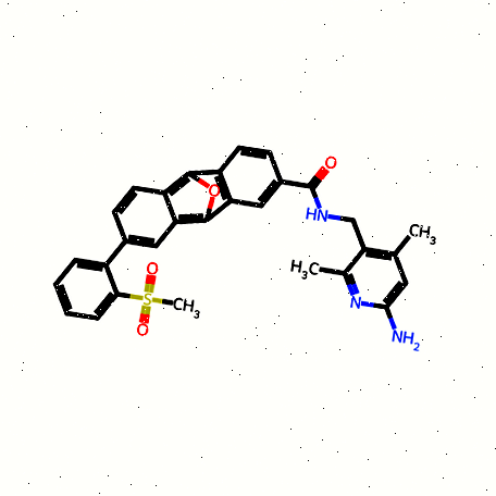 Cc1cc(N)nc(C)c1CNC(=O)c1ccc2c(c1)c1oc2c2ccc(-c3ccccc3S(C)(=O)=O)cc21